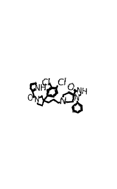 O=C(c1ccc[nH]1)N1CCC(CCCN2CCC3(CC2)C(=O)NCN3c2ccccc2)(c2ccc(Cl)c(Cl)c2)C1